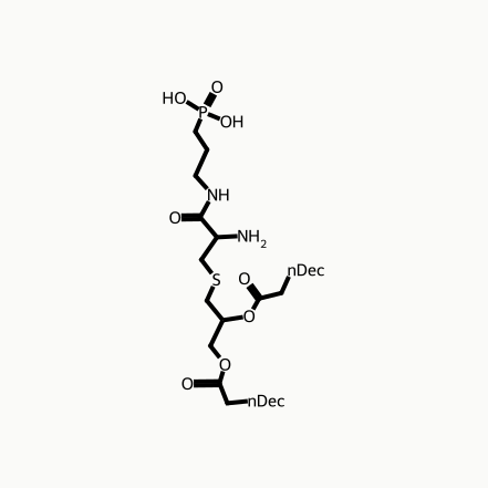 CCCCCCCCCCCC(=O)OCC(CSCC(N)C(=O)NCCCP(=O)(O)O)OC(=O)CCCCCCCCCCC